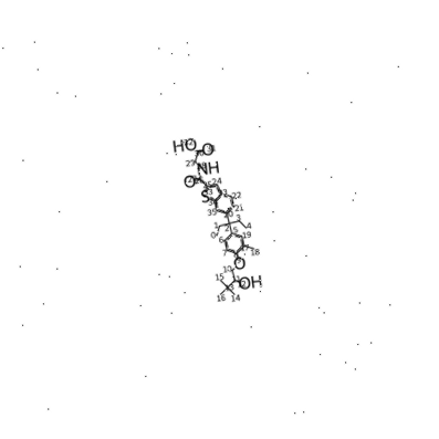 CCC(CC)(c1ccc(OCC(O)C(C)(C)C)c(C)c1)c1ccc2cc(C(=O)NCC(=O)O)sc2c1